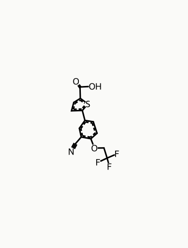 N#Cc1cc(-c2ccc(C(=O)O)s2)ccc1OCC(F)(F)F